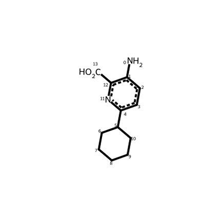 Nc1ccc(C2CCCCC2)nc1C(=O)O